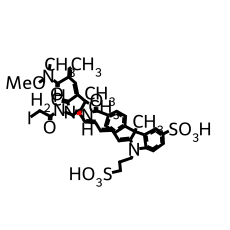 C=C1N=C(/C=C/C=C/C=C2/N(CCCS(=O)(=O)O)c3ccc(S(=O)(=O)O)cc3C2(C)c2ccc(C(=O)NCCNC(=O)CI)cc2)C(C)(C)/C1=C/C(=C\C)C(=O)N(C)OC